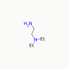 [CH2]CN(C[CH2])CCN